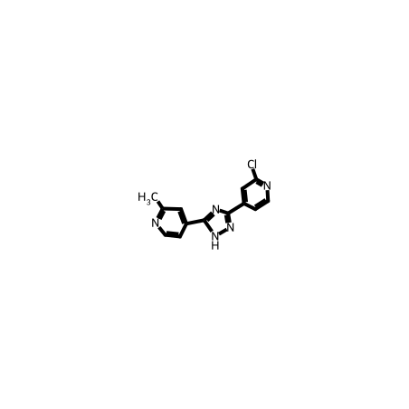 Cc1cc(-c2nc(-c3ccnc(Cl)c3)n[nH]2)ccn1